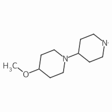 COC1CCN(C2CC[N]CC2)CC1